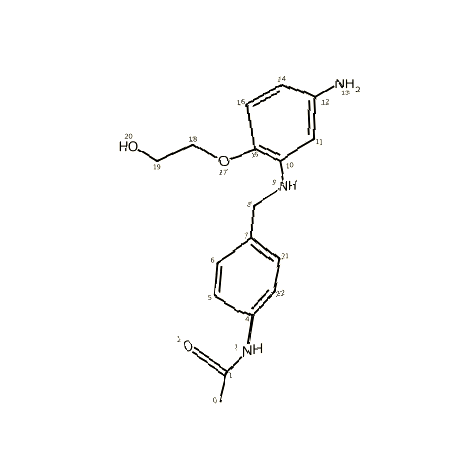 CC(=O)Nc1ccc(CNc2cc(N)ccc2OCCO)cc1